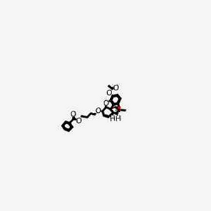 CC(=O)Oc1ccc2c3c1OC1C(OCCCCOC(=O)c4ccccc4)C=C[C@H]4[C@@H](C2)N(C)CC[C@]314